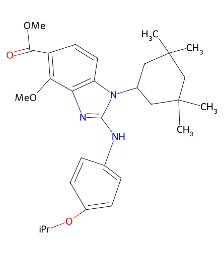 COC(=O)c1ccc2c(nc(Nc3ccc(OC(C)C)cc3)n2C2CC(C)(C)CC(C)(C)C2)c1OC